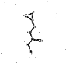 O=C(CBr)OCC1CO1